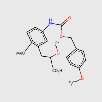 COc1ccc(NC(=O)OCc2ccc(OC(F)(F)F)cc2)cc1CC(OC(C)C)C(=O)O